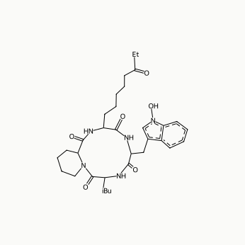 CCC(=O)CCCCCC1NC(=O)C2CCCCN2C(=O)C(C(C)CC)NC(=O)C(Cc2cn(O)c3ccccc23)NC1=O